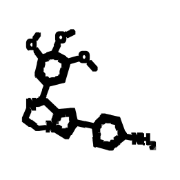 COc1cc(C2=NCCn3cc(-c4ccc(N)cc4)cc32)cc(OC)c1OC